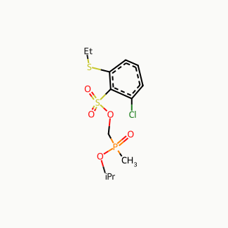 CCSc1cccc(Cl)c1S(=O)(=O)OCP(C)(=O)OC(C)C